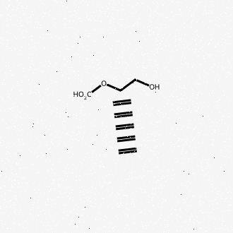 C=C.C=C.C=C.C=C.C=C.O=C(O)OCCO